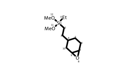 CC[Si](CCC1CCC2OC2C1)(OC)OC